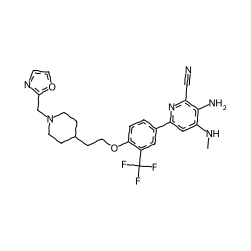 CNc1cc(-c2ccc(OCCC3CCN(Cc4ncco4)CC3)c(C(F)(F)F)c2)nc(C#N)c1N